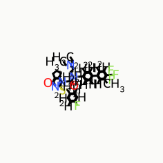 [2H]c1c([2H])c(CSc2nc(=O)c3c(n2C([2H])([2H])C(=O)N(CCN(CC)CC)C([2H])([2H])c2c([2H])c([2H])c(-c4c([2H])c([2H])c(C(F)(F)F)c(C)c4[2H])c([2H])c2[2H])CCC3)c([2H])c([2H])c1F